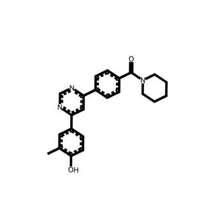 Cc1cc(-c2cc(-c3ccc(C(=O)N4CCCCC4)cc3)ncn2)ccc1O